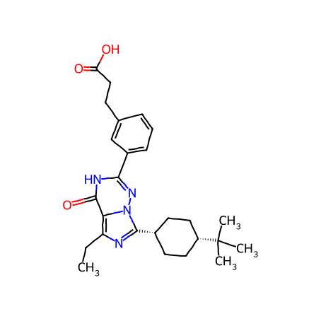 CCc1nc([C@H]2CC[C@@H](C(C)(C)C)CC2)n2nc(-c3cccc(CCC(=O)O)c3)[nH]c(=O)c12